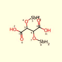 O=C(O)C([O][SbH2])C([O][SbH2])C(=O)O